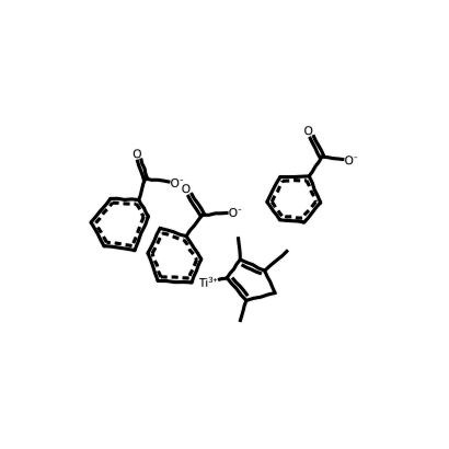 CC1=C(C)[C]([Ti+3])=C(C)C1.O=C([O-])c1ccccc1.O=C([O-])c1ccccc1.O=C([O-])c1ccccc1